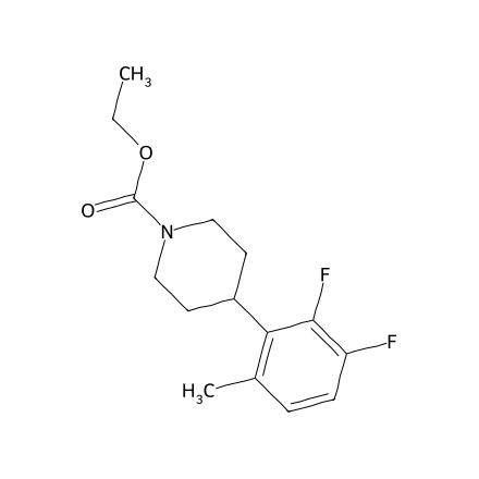 CCOC(=O)N1CCC(c2c(C)ccc(F)c2F)CC1